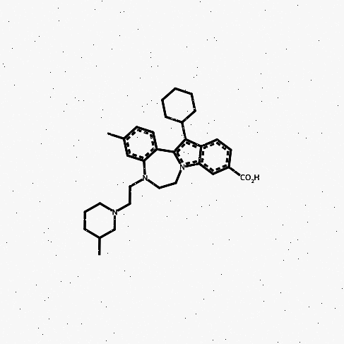 Cc1ccc2c(c1)N(CCN1CCCC(C)C1)CCn1c-2c(C2CCCCC2)c2ccc(C(=O)O)cc21